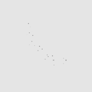 CC1(C)c2ccccc2-c2ccc(C3=CC4c5ccc6c(oc7ccc(-c8cnc(-c9ccccc9)nc8)cc76)c5OC4C=C3)cc21